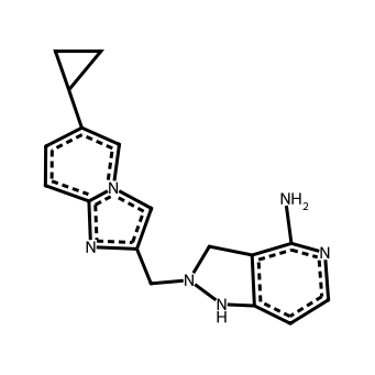 Nc1nccc2c1CN(Cc1cn3cc(C4CC4)ccc3n1)N2